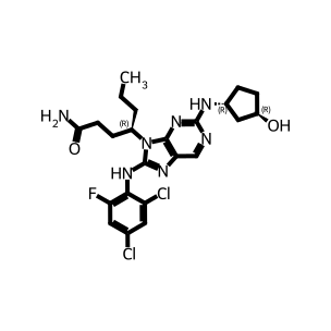 CCC[C@H](CCC(N)=O)n1c(Nc2c(F)cc(Cl)cc2Cl)nc2cnc(N[C@@H]3CC[C@@H](O)C3)nc21